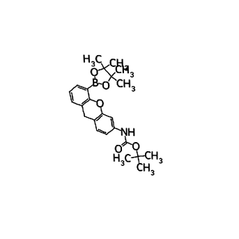 CC(C)(C)OC(=O)Nc1ccc2c(c1)Oc1c(cccc1B1OC(C)(C)C(C)(C)O1)C2